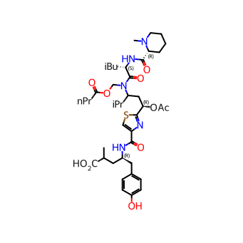 CCCC(=O)OCN(C(=O)[C@@H](NC(=O)[C@H]1CCCCN1C)C(C)CC)C(C[C@@H](OC(C)=O)c1nc(C(=O)N[C@@H](Cc2ccc(O)cc2)CC(C)C(=O)O)cs1)C(C)C